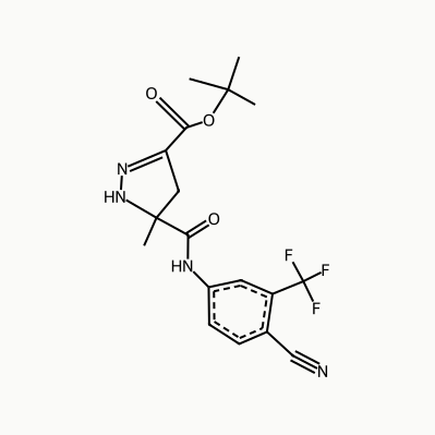 CC(C)(C)OC(=O)C1=NNC(C)(C(=O)Nc2ccc(C#N)c(C(F)(F)F)c2)C1